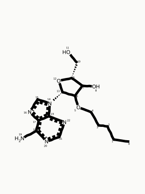 CCCCCOC1C(O)[C@@H](CO)O[C@H]1n1cnc2c(N)ncnc21